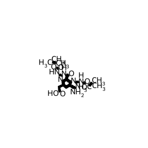 CC(C)(C)OC(=O)Nc1nc(N)c2cc(CC(=O)O)c3nc(NC(=O)OC(C)(C)C)[nH]c(=O)c3c2n1